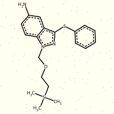 C[Si](C)(C)CCOCn1nc(Sc2ccccc2)c2cc(N)ccc21